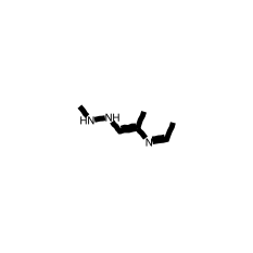 C/C=N\C(C)=C\NNC